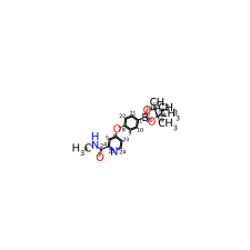 CNC(=O)c1cc(Oc2ccc(B3OC(C)(C)C(C)(C)O3)cc2)ccn1